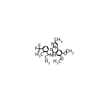 COc1cc2c(NC(C)c3cccc(C(F)(F)F)c3C)nc3nc(C)cn3c2cc1OC